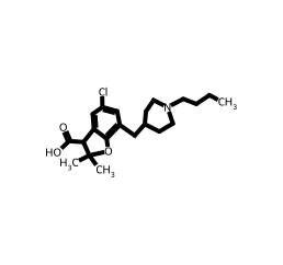 CCCCN1CCC(Cc2cc(Cl)cc3c2OC(C)(C)C3C(=O)O)CC1